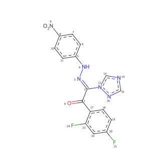 O=C(C(=NNc1ccc([N+](=O)[O-])cc1)n1cncn1)c1ccc(F)cc1F